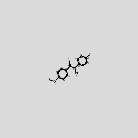 COc1ccc(C(=O)C(O)c2ccc(C)cc2)cc1